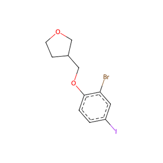 Brc1cc(I)ccc1OCC1CCOC1